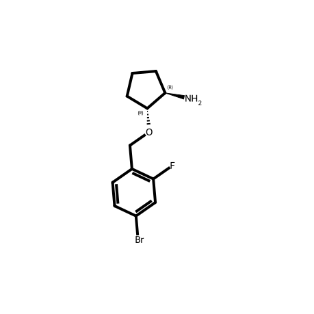 N[C@@H]1CCC[C@H]1OCc1ccc(Br)cc1F